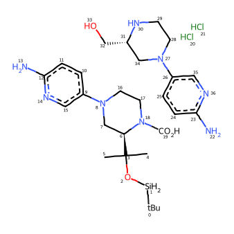 CC(C)(C)[SiH2]OC(C)(C)[C@H]1CN(c2ccc(N)nc2)CCN1C(=O)O.Cl.Cl.Nc1ccc(N2CCN[C@@H](CO)C2)cn1